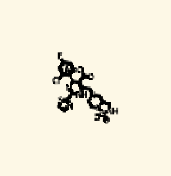 COC(=O)C1=C(CN2CCN3C(CNS3(=O)=O)C2)NC(c2nccs2)=N[C@H]1c1ccc(F)cc1Cl